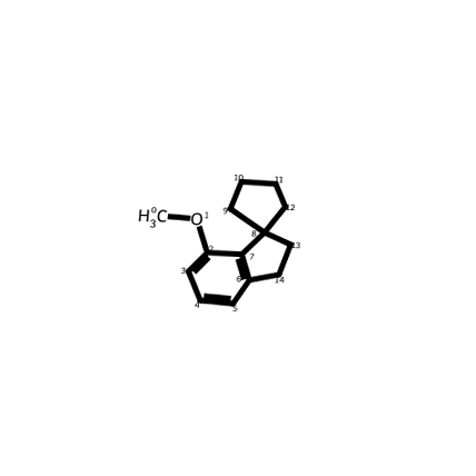 COc1cccc2c1C1(CCCC1)CC2